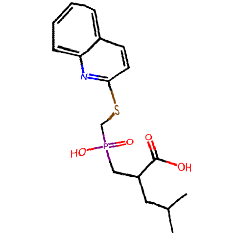 CC(C)CC(CP(=O)(O)CSc1ccc2ccccc2n1)C(=O)O